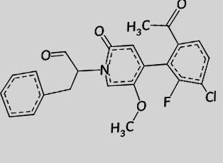 COc1cn(C(C=O)Cc2ccccc2)c(=O)cc1-c1c(C(C)=O)ccc(Cl)c1F